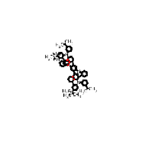 CC(C)c1cccc(N(c2ccc([Si](C)(C)C)cc2-c2ccccc2)c2ccc3c4cc5c(cc4n4c6ccccc6c2c34)c2ccc(N(c3cccc(C(C)C)c3)c3ccc([Si](C)(C)C)cc3-c3ccccc3)c3c4ccccc4n5c23)c1